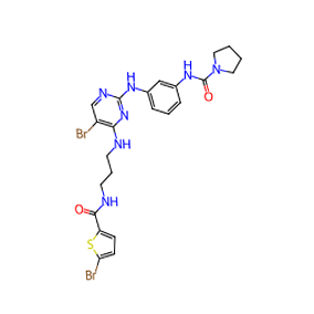 O=C(NCCCNc1nc(Nc2cccc(NC(=O)N3CCCC3)c2)ncc1Br)c1ccc(Br)s1